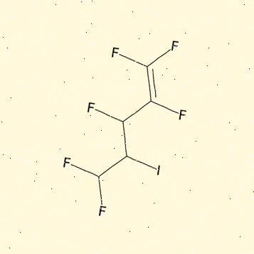 FC(F)=C(F)C(F)C(I)C(F)F